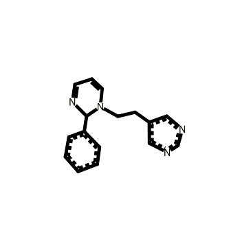 C1=CN(CCc2cncnc2)C(c2ccccc2)N=C1